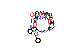 COC(=O)[C@@H]1C[C@@H]2CN1C(=O)[C@H](C(C)(C)C)NC(=O)O[C@@H]1CCC[C@H]1CC/C=C/Cc1c(nc3ccccc3c1OCc1ccccc1)O2